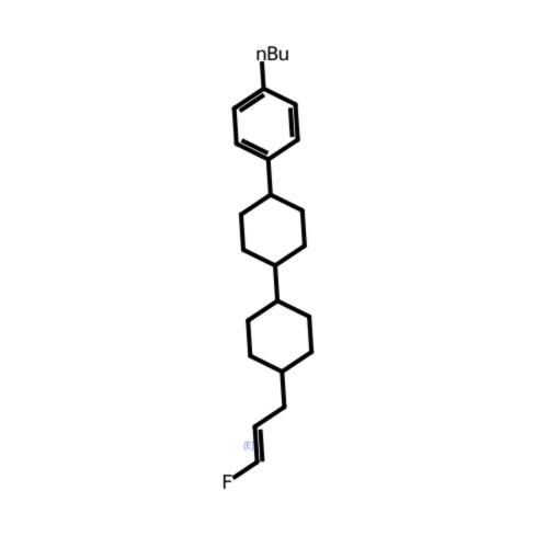 CCCCc1ccc(C2CCC(C3CCC(C/C=C/F)CC3)CC2)cc1